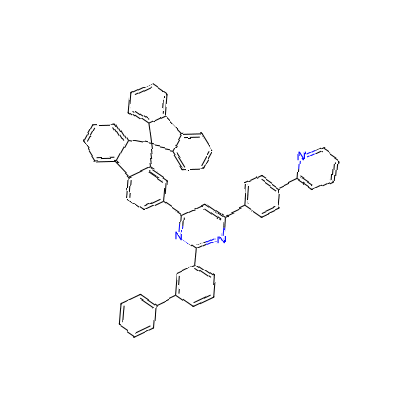 c1ccc(-c2cccc(-c3nc(-c4ccc(-c5ccccn5)cc4)cc(-c4ccc5c(c4)C4(c6ccccc6-c6ccccc64)c4ccccc4-5)n3)c2)cc1